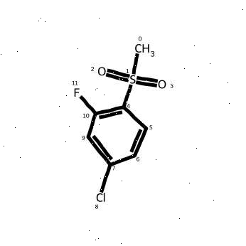 CS(=O)(=O)c1ccc(Cl)cc1F